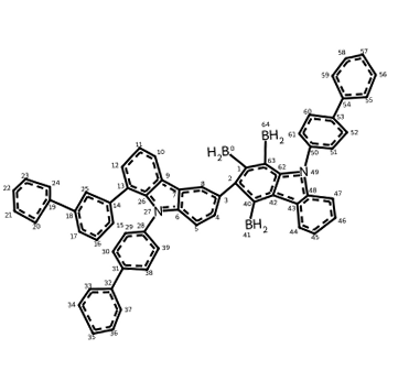 Bc1c(-c2ccc3c(c2)c2cccc(-c4cccc(-c5ccccc5)c4)c2n3-c2ccc(-c3ccccc3)cc2)c(B)c2c3ccccc3n(-c3ccc(-c4ccccc4)cc3)c2c1B